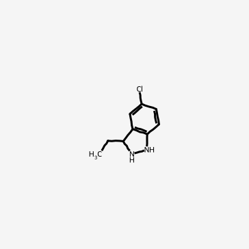 CCC1NNc2ccc(Cl)cc21